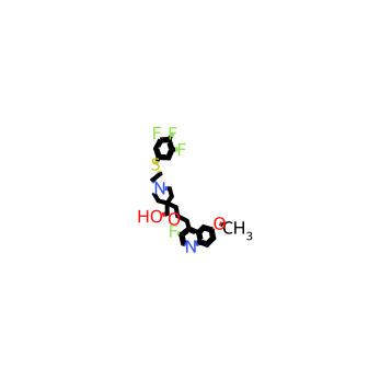 COc1ccc2ncc(F)c(CCCC3(C(=O)O)CCN(CCSc4cc(F)c(F)c(F)c4)CC3)c2c1